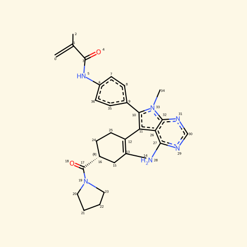 C=C(C)C(=O)Nc1ccc(-c2c(C3=C(C)C[C@H](C(=O)N4CCCC4)CC3)c3c(N)ncnc3n2C)cc1